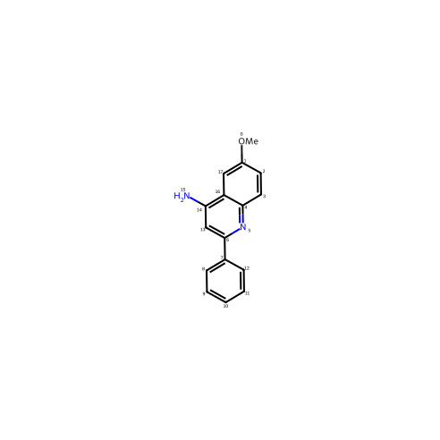 COc1ccc2nc(-c3ccccc3)cc(N)c2c1